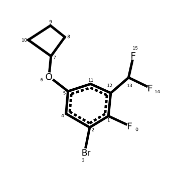 Fc1c(Br)cc(OC2CCC2)cc1C(F)F